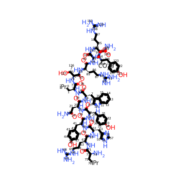 CC(C)C[C@H](NC(=O)[C@H](Cc1c[nH]c2ccccc12)NC(=O)[C@H](CC(N)=O)NC(=O)[C@H](Cc1ccc(O)cc1)NC(=O)[C@H](Cc1ccc(O)cc1)NC(=O)[C@H](Cc1c[nH]cn1)NC(=O)[C@H](CCCNC(=N)N)NC(=O)[C@@H](N)CC(C)C)C(=O)N[C@H](C(=O)N[C@@H](CCCNC(=N)N)C(=O)N[C@@H](CCC(N)=O)C(=O)N[C@@H](CCCNC(=N)N)C(=O)N[C@@H](Cc1ccc(O)cc1)C(=O)O)[C@@H](C)O